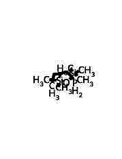 CC1(C)CC2CC(P)([Si](C)(C)C)O[Si]21C